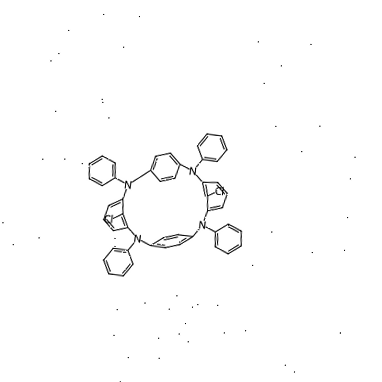 Clc1c2cccc1n(-c1ccccc1)c1ccc(cc1)n(-c1ccccc1)c1cccc(c1Cl)n(-c1ccccc1)c1ccc(cc1)n2-c1ccccc1